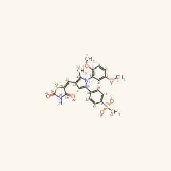 COc1ccc(OC)c(-n2c(-c3ccc(S(C)(=O)=O)cc3)cc(C=C3SC(=O)NC3=O)c2C)c1